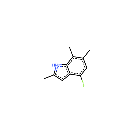 Cc1cc2c(F)cc(C)c(C)c2[nH]1